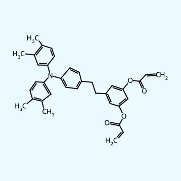 C=CC(=O)Oc1cc(CCc2ccc(N(c3ccc(C)c(C)c3)c3ccc(C)c(C)c3)cc2)cc(OC(=O)C=C)c1